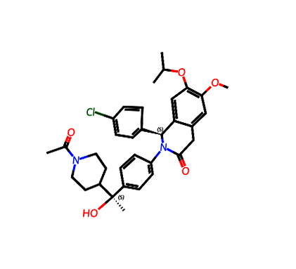 COc1cc2c(cc1OC(C)C)[C@H](c1ccc(Cl)cc1)N(c1ccc([C@@](C)(O)C3CCN(C(C)=O)CC3)cc1)C(=O)C2